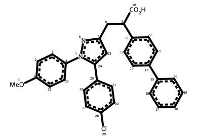 COc1ccc(-n2nc(CC(C(=O)O)c3ccc(-c4ccccc4)cc3)cc2-c2ccc(Cl)cc2)cc1